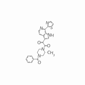 C[C@@H]1CN(C(=O)c2ccccc2)CCN1C(=O)C(=O)c1c[nH]c2c(-c3nccs3)nccc12